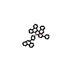 c1ccc(-c2ccc(N(c3ccc(-c4cc5ccccc5c5ccccc45)cc3)c3c(-c4cccc5ccccc45)c4ccccc4c4ccccc34)cc2)cc1